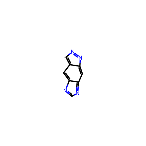 [C]1=c2cc3c(cc2N=N1)=NC=N3